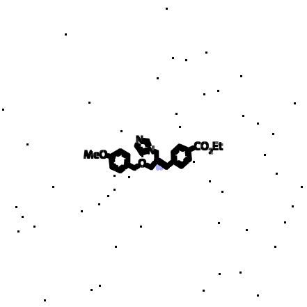 CCOC(=O)c1ccc(/C=C(/COCc2ccc(OC)cc2)Cn2ccnc2)cc1